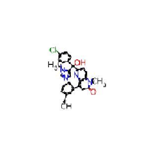 C#Cc1cccc(-c2cc(=O)n(C)c3ccc([C@](O)(c4ccc(Cl)cc4)c4cncn4C)nc23)c1